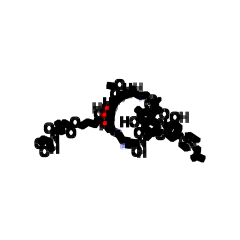 CC(=O)O[C@H]1[C@H](C)[C@H](O)[C@H](C)[C@@H](OC(=O)CCCOC(=O)CC(C)(C)C(=O)NC(C=O)C=O)[C@@H](C)/C=C/C=C(/C)C(=O)Nc2c3oc4cc(N5CCN(CC(C)C)CC5)cc(O)c4nc-3c3c4c(c(C)c(O)c3c2=O)O[C@](C)(O/C=C/[C@H](C)[C@H]1C)C4=O